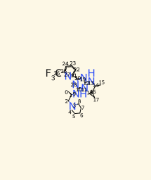 CC(CN1CCCCC1)Nc1nc(NC(C)C2CC2)nc(-c2cccc(C(F)(F)F)n2)n1